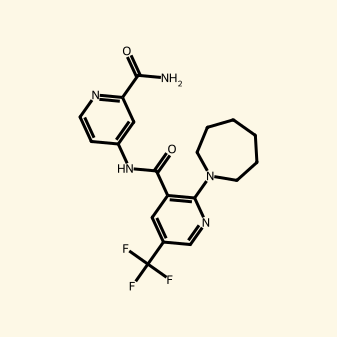 NC(=O)c1cc(NC(=O)c2cc(C(F)(F)F)cnc2N2CCCCCC2)ccn1